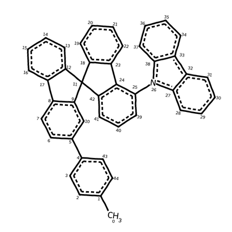 Cc1ccc(-c2ccc3c(c2)C2(c4ccccc4-3)c3ccccc3-c3c(-n4c5ccccc5c5ccccc54)cccc32)cc1